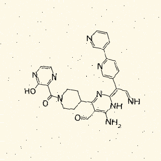 N=C/C(=C1/N=C(C2CCN(C(=O)c3nccnc3O)CC2)C(C=O)=C(N)N1)c1ccc(-c2cccnc2)nc1